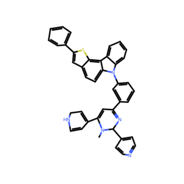 CN1C(C2=CCNC=C2)=CC(c2cccc(-n3c4ccccc4c4c5sc(-c6ccccc6)cc5ccc43)c2)=NC1c1ccncc1